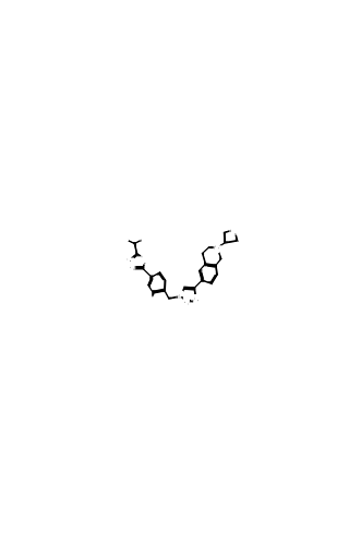 Fc1cc(-c2nnc(C(F)F)o2)ccc1Cn1cc(-c2ccc3c(c2)CCN(C2COC2)C3)nn1